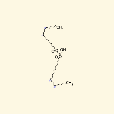 CCCCC/C=C\C/C=C\CCCCCCCCCC(=O)O[C@@H](CO)COC(=O)CCCCCCC/C=C\C/C=C\CCCCC